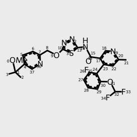 COC(C)(C)c1ccc(COc2nnc(NC(=O)c3cnc(C)cc3-c3c(F)cccc3OC(F)F)s2)nc1